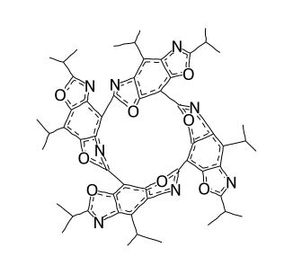 CC(C)c1nc2c(C(C)C)c3nc4oc3c(c2o1)-c1nc2c(C(C)C)c3nc(C(C)C)oc3c(c2o1)-c1nc2c(C(C)C)c3nc(C(C)C)oc3c(c2o1)-c1nc2c-4c3nc(C(C)C)oc3c(C(C)C)c2o1